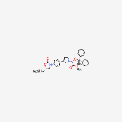 CC(=O)NC[C@H]1CN(c2ccc(C3=CCN([C@@H](O[Si](c4ccccc4)(c4ccccc4)C(C)(C)C)C(=O)OC(C)(C)C)C3)cc2)C(=O)O1